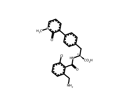 Cn1cccc(-c2ccc(C[C@H](NC(=O)c3c(Cl)cccc3CN)C(=O)O)cc2)c1=O